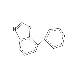 C1=Nc2cccc(-c3ccccc3)c2[N]1